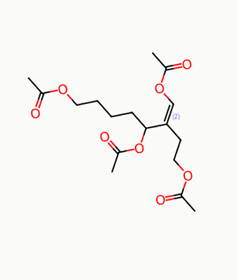 CC(=O)O/C=C(/CCOC(C)=O)C(CCCCOC(C)=O)OC(C)=O